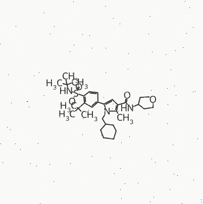 Cc1c(C(=O)NC2CCOCC2)cc(-c2ccc(S(=O)(=O)NC(C)(C)C)c(C(C)(C)C)c2)n1CC1CCCCC1